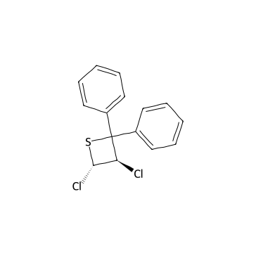 Cl[C@@H]1SC(c2ccccc2)(c2ccccc2)[C@H]1Cl